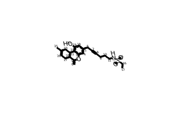 C=C1Oc2cc(CC#CCCCNS(=O)(=O)CC)cc(O)c2C2CC(C)=CCC12